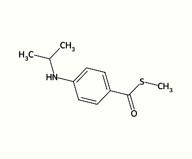 CSC(=O)c1ccc(NC(C)C)cc1